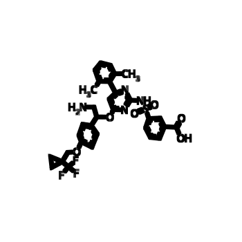 Cc1cccc(C)c1-c1cc(OC(CN)c2ccc(OCC3(C(F)(F)F)CC3)cc2)nc(NS(=O)(=O)c2cccc(C(=O)O)c2)n1